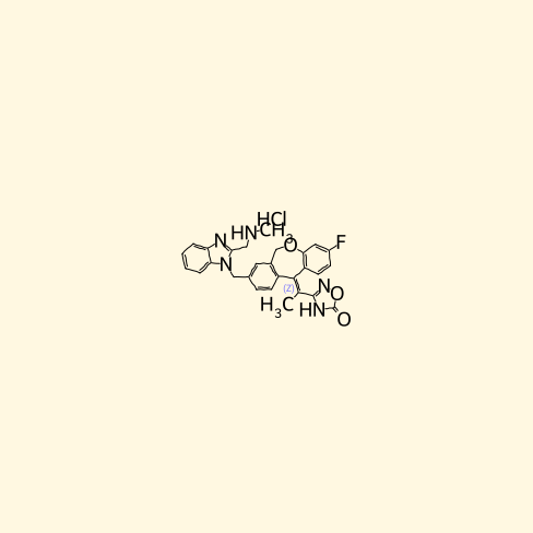 CNCc1nc2ccccc2n1Cc1ccc2c(c1)COc1cc(F)ccc1/C2=C(/C)c1noc(=O)[nH]1.Cl